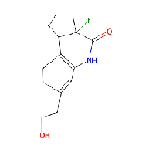 O=C1Nc2cc(CCO)ccc2C2CCCC12F